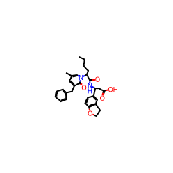 CCCCC(C(=O)NC(CC(=O)O)c1ccc2c(c1)CCO2)n1cc(C)cc(Cc2ccccc2)c1=O